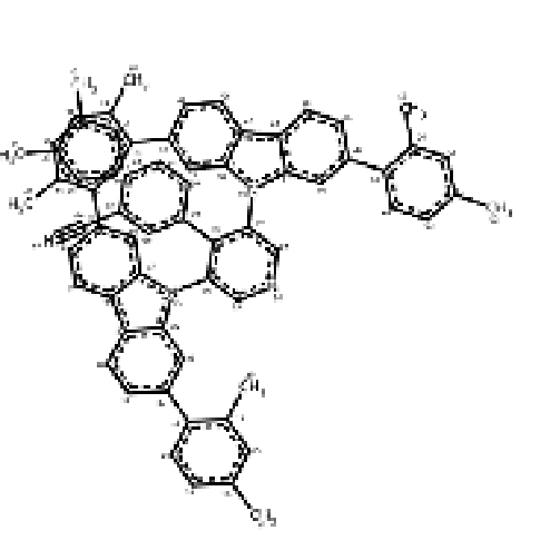 Cc1ccc(-c2ccc3c4ccc(-c5ccc(C)cc5C)cc4n(-c4cncc(-n5c6cc(-c7ccc(C)cc7C)ccc6c6ccc(-c7ccc(C)cc7C)cc65)c4-c4cccc(C#N)c4)c3c2)c(C)c1